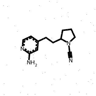 N#CN1CCCC1CCc1ccnc(N)c1